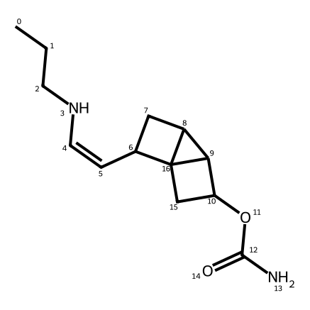 CCCN/C=C\C1CC2C3C(OC(N)=O)CC123